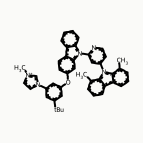 Cc1cccc2c3cccc(C)c3n(-c3ccnc(-n4c5ccccc5c5ccc(Oc6cc(-n7cc[n+](C)c7)cc(C(C)(C)C)c6)cc54)c3)c12